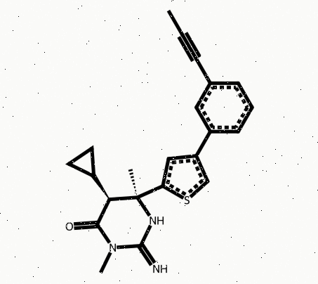 CC#Cc1cccc(-c2csc([C@@]3(C)NC(=N)N(C)C(=O)[C@H]3C3CC3)c2)c1